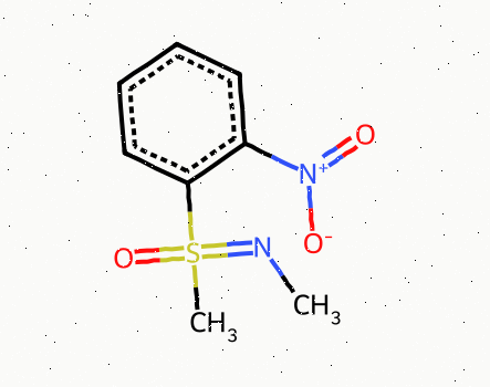 CN=S(C)(=O)c1ccccc1[N+](=O)[O-]